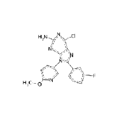 COc1ccc(-n2c(-c3cccc(F)c3)nc3c(Cl)nc(N)nc32)cn1